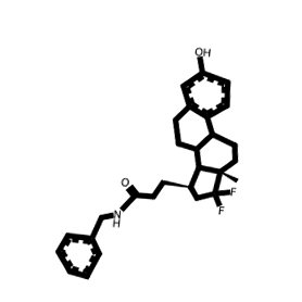 C[C@]12CCC3c4ccc(O)cc4CCC3C1[C@H](CCC(=O)NCc1ccccc1)CC2(F)F